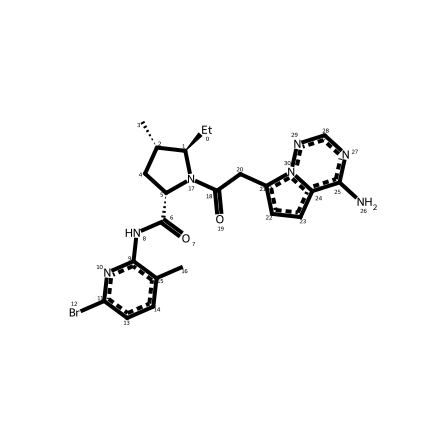 CC[C@@H]1[C@@H](C)C[C@@H](C(=O)Nc2nc(Br)ccc2C)N1C(=O)Cc1ccc2c(N)ncnn12